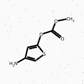 COC(=O)Oc1cc(N)cs1